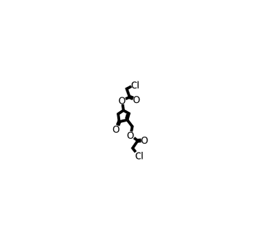 O=C(CCl)OCC1=CC(OC(=O)CCl)CC1=O